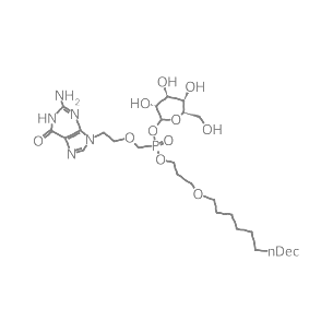 CCCCCCCCCCCCCCCCOCCCOP(=O)(COCCn1cnc2c(=O)[nH]c(N)nc21)OC1O[C@H](CO)[C@H](O)[C@H](O)[C@H]1O